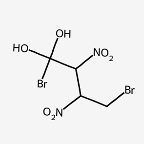 O=[N+]([O-])C(CBr)C([N+](=O)[O-])C(O)(O)Br